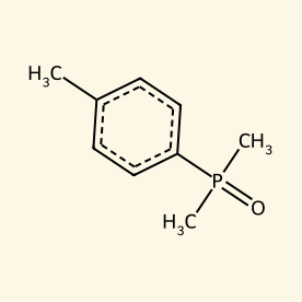 Cc1ccc(P(C)(C)=O)cc1